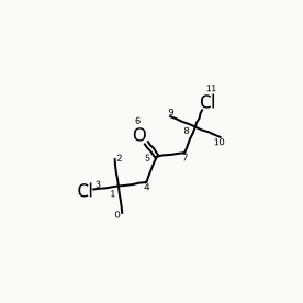 CC(C)(Cl)CC(=O)CC(C)(C)Cl